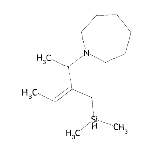 C/C=C(/C[SiH](C)C)C(C)N1CCCCCC1